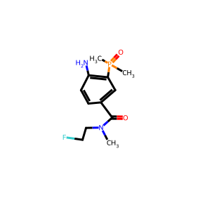 CN(CCF)C(=O)c1ccc(N)c(P(C)(C)=O)c1